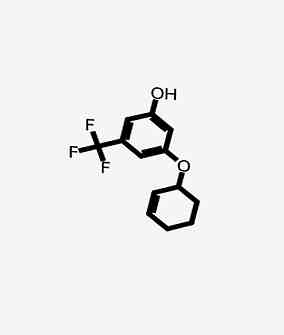 Oc1cc(OC2C=CCCC2)cc(C(F)(F)F)c1